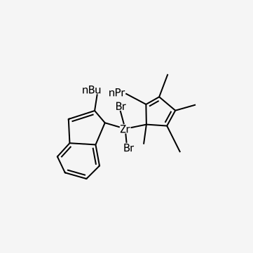 CCCCC1=Cc2ccccc2[CH]1[Zr]([Br])([Br])[C]1(C)C(C)=C(C)C(C)=C1CCC